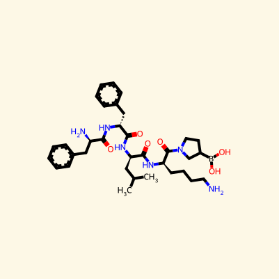 CC(C)C[C@@H](NC(=O)[C@@H](Cc1ccccc1)NC(=O)[C@H](N)Cc1ccccc1)C(=O)N[C@H](CCCCN)C(=O)N1CCC(B(O)O)C1